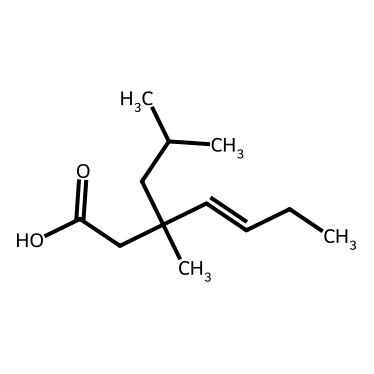 CCC=CC(C)(CC(=O)O)CC(C)C